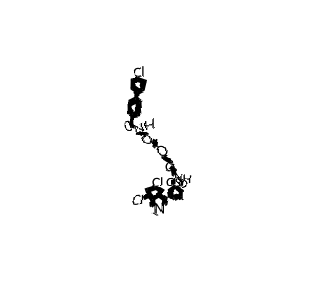 CN1Cc2c(Cl)cc(Cl)cc2[C@H](c2cccc(S(=O)(=O)NCCOCCOCCOCCNC(=O)c3ccc(-c4ccc(Cl)cc4)cc3)c2)C1